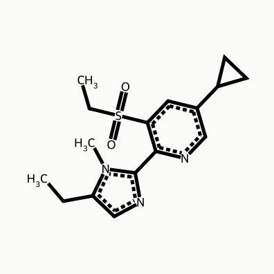 CCc1cnc(-c2ncc(C3CC3)cc2S(=O)(=O)CC)n1C